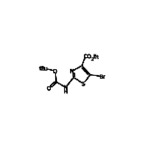 CCOC(=O)c1nc(NC(=O)OC(C)(C)C)sc1Br